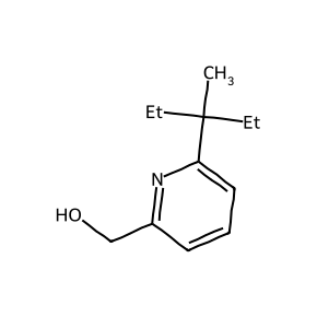 CCC(C)(CC)c1cccc(CO)n1